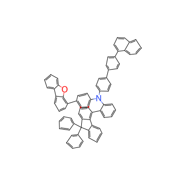 c1ccc(C2(c3ccccc3)c3ccccc3-c3c(-c4ccccc4N(c4ccc(-c5ccc(-c6cccc7ccccc67)cc5)cc4)c4ccc(-c5cccc6c5oc5ccccc56)cc4)cccc32)cc1